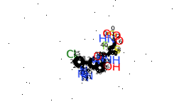 CS(=O)(=O)NC(=O)c1scc(-c2cnc(C3(O)CCc4cc(-c5cc(Cl)ccc5-n5cnnn5)c[n+]([O-])c43)[nH]2)c1F